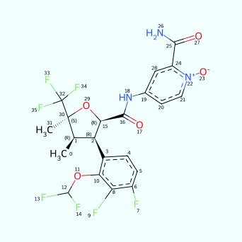 C[C@@H]1[C@H](c2ccc(F)c(F)c2OC(F)F)[C@H](C(=O)Nc2cc[n+]([O-])c(C(N)=O)c2)O[C@]1(C)C(F)(F)F